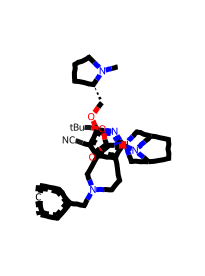 CN1CCC[C@H]1COc1nc(N2C3CCC2CN(C(=O)OC(C)(C)C)C3)c2c(c1C#N)CN(Cc1ccccc1)CC2